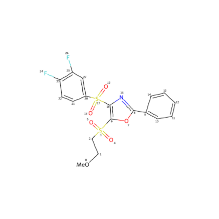 COCCS(=O)(=O)c1oc(-c2ccccc2)nc1S(=O)(=O)c1ccc(F)c(F)c1